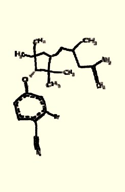 C=C(N)CC(C)C[C@H]1C(C)(C)[C@H](Oc2ccc(C#N)c(Br)c2)C1(C)C